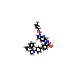 COC(=O)c1ccc(C2=CCC(N3CCCC3c3ccccc3C3CC3)CC2)cc1-n1ncc2nc3c(ccn3COCC[Si](C)(C)C)cc21